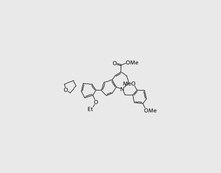 C1CCOC1.CCOc1ccccc1-c1ccc2c(c1)C=C(C(=O)OC)CCN2Cc1cc(OC)ccc1OC